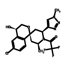 C[C@H]1C[C@@]2(C[C@@H](c3cn(C)nn3)N1C(=O)C(F)(F)F)OC[C@@H](O)c1cc(Cl)ccc12